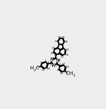 Cc1ccc(-c2nc(-c3ccc(C)cc3)nc(-c3ccc4c5c(cccc35)C3C=CC=CC43)n2)cc1